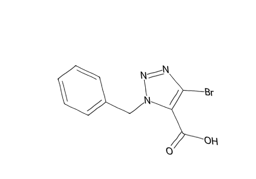 O=C(O)c1c(Br)nnn1Cc1ccccc1